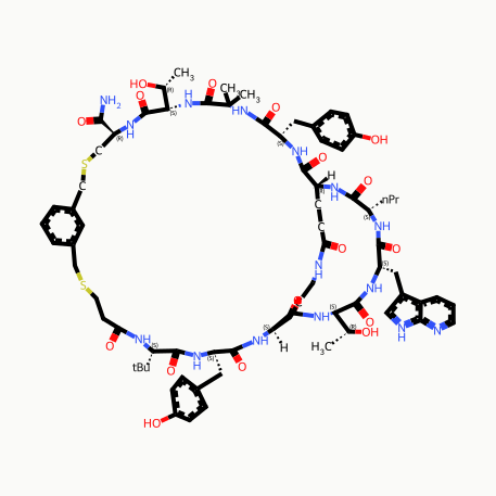 CCC[C@@H]1NC(=O)[C@H](Cc2c[nH]c3ncccc23)NC(=O)[C@H]([C@@H](C)O)NC(=O)[C@@H]2CCCNC(=O)CC[C@@H](NC1=O)C(=O)N[C@@H](Cc1ccc(O)cc1)C(=O)NC(C)(C)C(=O)N[C@@H]([C@@H](C)O)C(=O)N[C@H](C(N)=O)CSCc1cccc(c1)CSCCC(=O)N[C@@H](C(C)(C)C)C(=O)N[C@@H](Cc1ccc(O)cc1)C(=O)N2